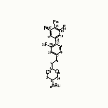 CCCCC1COC(CCc2ccc(-c3cc(F)c(F)c(F)c3)c(F)c2)OC1